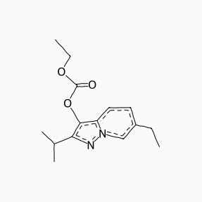 CCOC(=O)Oc1c(C(C)C)nn2cc(CC)ccc12